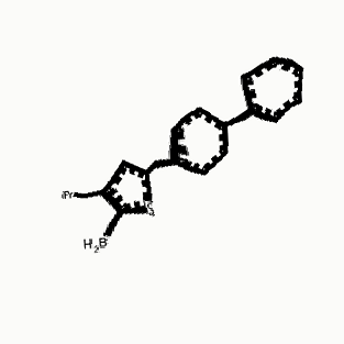 Bc1sc(-c2ccc(-c3ccccc3)cc2)cc1C(C)C